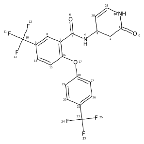 O=C1CC(NC(=O)c2cc(C(F)(F)F)ccc2Oc2ccc(C(F)(F)F)cc2)C=CN1